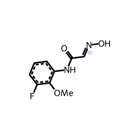 COc1c(F)cccc1NC(=O)/C=N/O